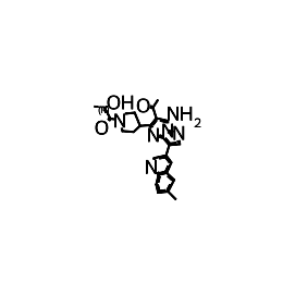 CC(=O)c1c(C2CCN(C(=O)[C@@H](C)O)CC2)nc2c(-c3cnc4ccc(C)cc4c3)cnn2c1N